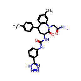 Cc1ccc(C2CC(NC(=O)Nc3cccc(-c4nnn[nH]4)c3)C(=O)N(CC(N)=O)c3cc(C)ccc32)cc1